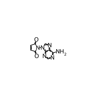 Nc1ncnc2c1ncn2N1C(=O)C=CC1=O